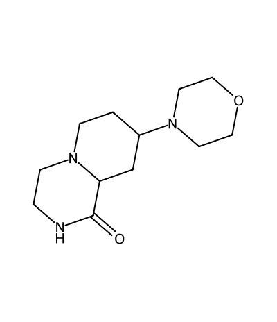 O=C1NCCN2CCC(N3CCOCC3)CC12